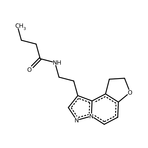 CCCC(=O)NCCc1cnn2ccc3c(c12)CCO3